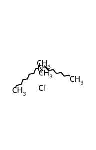 CCCCCC/C=C/[N+](C)(C)CCCCCCCC.[Cl-]